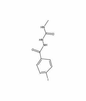 CNC(=O)NNC(=O)c1ccc(I)cc1